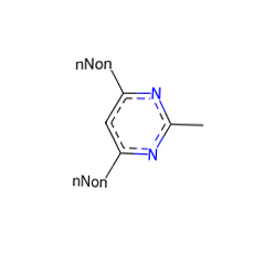 CCCCCCCCCc1cc(CCCCCCCCC)nc(C)n1